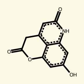 O=C1Cc2cc(=O)[nH]c3cc(O)cc(c23)O1